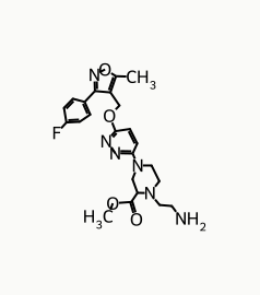 COC(=O)C1CN(c2ccc(OCc3c(-c4ccc(F)cc4)noc3C)nn2)CCN1CCN